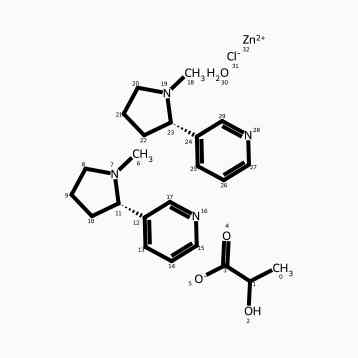 CC(O)C(=O)[O-].CN1CCC[C@H]1c1cccnc1.CN1CCC[C@H]1c1cccnc1.O.[Cl-].[Zn+2]